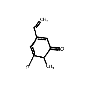 C=CC1=CC(=O)C(C)C(Cl)=C1